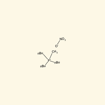 CCCC[P+](C)(CCCC)CCCC.O=[N+]([O-])[O-]